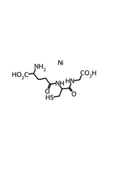 NC(CCC(=O)NC(CS)C(=O)NCC(=O)O)C(=O)O.[Ni]